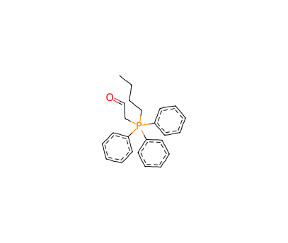 CCCCP(CC=O)(c1ccccc1)(c1ccccc1)c1ccccc1